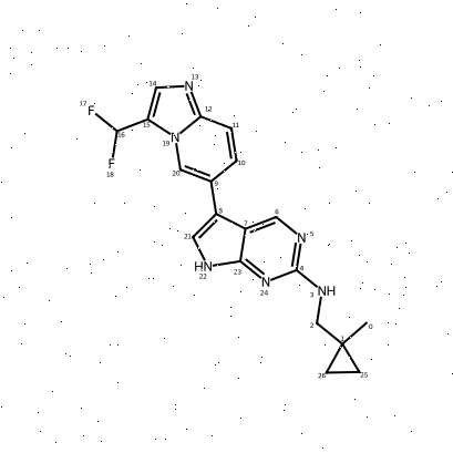 CC1(CNc2ncc3c(-c4ccc5ncc(C(F)F)n5c4)c[nH]c3n2)CC1